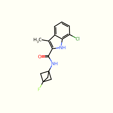 Cc1c(C(=O)NC23CC(F)(C2)C3)[nH]c2c(Cl)cccc12